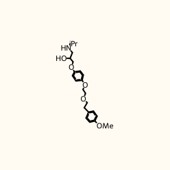 COc1ccc(CCOCCOc2ccc(OCC(O)CNC(C)C)cc2)cc1